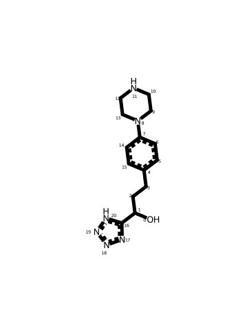 OC(CCc1ccc(N2CCNCC2)cc1)c1nnn[nH]1